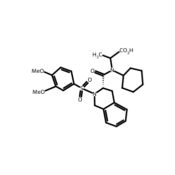 COc1ccc(S(=O)(=O)N2Cc3ccccc3C[C@H]2C(=O)N(C2CCCCC2)C(C)C(=O)O)cc1OC